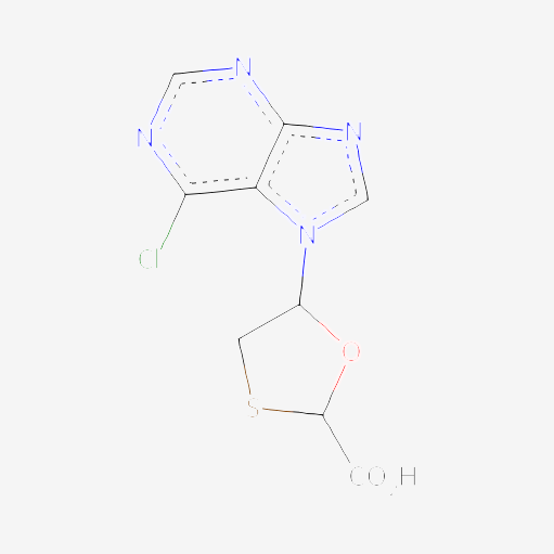 O=C(O)C1OC(n2cnc3ncnc(Cl)c32)CS1